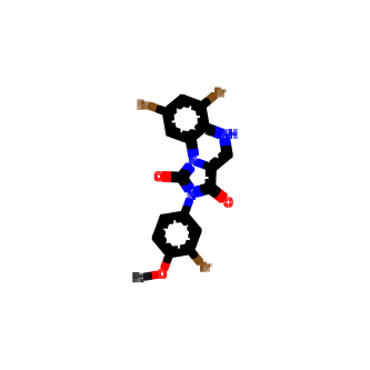 CCOc1ccc(-n2c(=O)c3c[nH]c4c(Br)cc(Br)cc4n-3c2=O)cc1Br